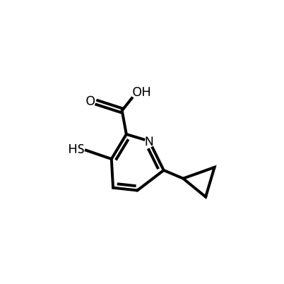 O=C(O)c1nc(C2CC2)ccc1S